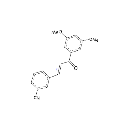 COc1cc(OC)cc(C(=O)/C=C/c2cccc(C#N)c2)c1